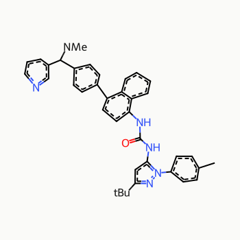 CNC(c1ccc(-c2ccc(NC(=O)Nc3cc(C(C)(C)C)nn3-c3ccc(C)cc3)c3ccccc23)cc1)c1cccnc1